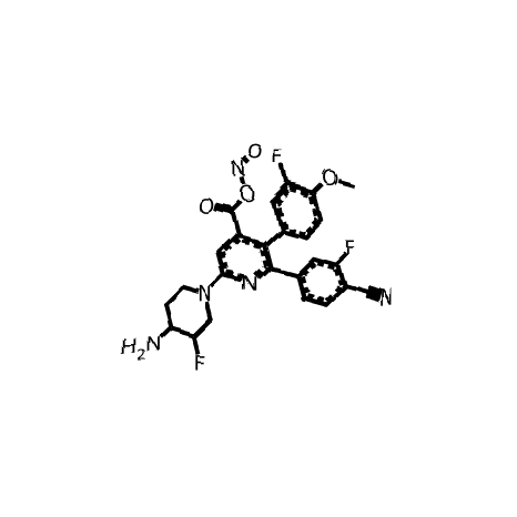 COc1ccc(-c2c(C(=O)ON=O)cc(N3CCC(N)C(F)C3)nc2-c2ccc(C#N)c(F)c2)cc1F